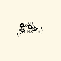 Cc1cc(-n2nc(C)c(C)c2C)ccc1OCc1c(Cl)cccc1-n1nnn(C)c1=O